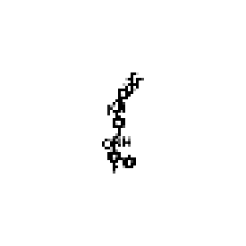 O=C(NCCc1ccc(-c2ncn(-c3ccc(OC(F)(F)F)cc3)n2)cc1)c1ccc(F)c(-c2ccccc2)c1